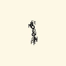 CCn1cnc2cc(OCc3ccc(-c4nnc(C(F)F)o4)cn3)ccc21